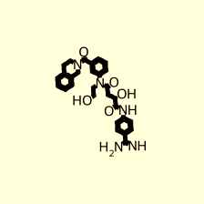 N=C(N)c1ccc(NC(=O)[C@H](O)CC(=O)N(CCO)c2cccc(C(=O)N3CCc4ccccc4C3)c2)cc1